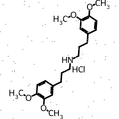 COc1ccc(CCCNCCCc2ccc(OC)c(OC)c2)cc1OC.Cl